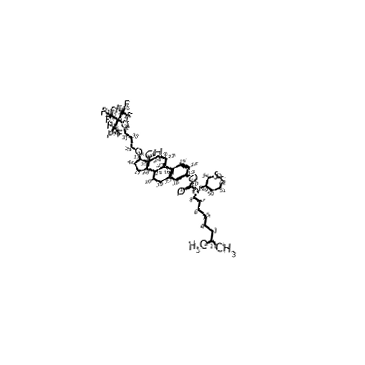 CC(C)CCCCCCN(C(=O)Oc1ccc2c(c1)CCC1C2CCC2(C)C(OCCCOC(C(F)(F)F)(C(F)(F)F)C(F)(F)F)CCC12)C1CCSSC1